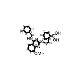 COc1cccc2c(NCc3cccc(F)c3)nc(-n3ncc4c(B(O)O)cccc43)nc12